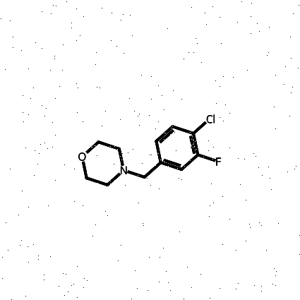 Fc1cc(CN2CCOCC2)ccc1Cl